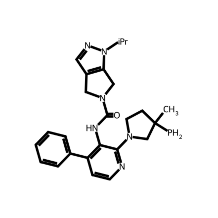 CC(C)n1ncc2c1CN(C(=O)Nc1c(-c3ccccc3)ccnc1N1CCC(C)(P)C1)C2